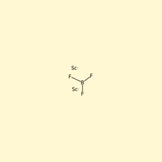 FB(F)F.[Sc].[Sc]